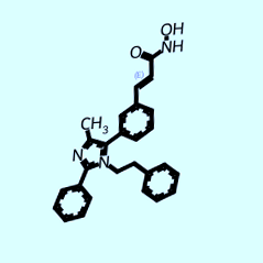 Cc1nc(-c2ccccc2)n(CCc2ccccc2)c1-c1cccc(/C=C/C(=O)NO)c1